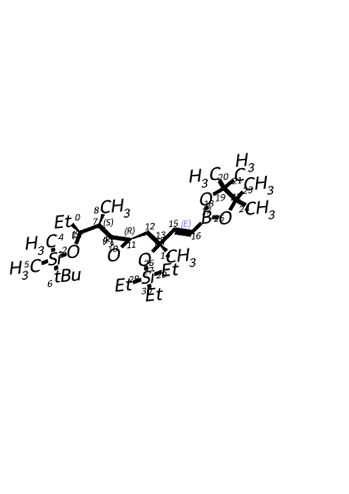 CC[C@H](O[Si](C)(C)C(C)(C)C)[C@@H](C)[C@H]1O[C@@H]1C[C@](C)(/C=C/B1OC(C)(C)C(C)(C)O1)O[Si](CC)(CC)CC